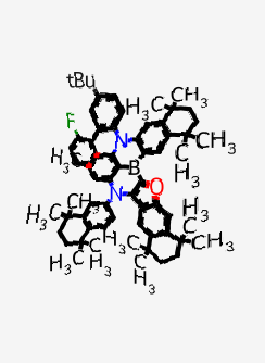 Cc1cc2c3c(c1)N(c1ccc4c(c1)C(C)(C)CCC4(C)C)c1c(oc4cc5c(cc14)C(C)(C)CCC5(C)C)B3c1cc3c(cc1N2c1ccc(C(C)(C)C)cc1-c1ccccc1F)C(C)(C)CCC3(C)C